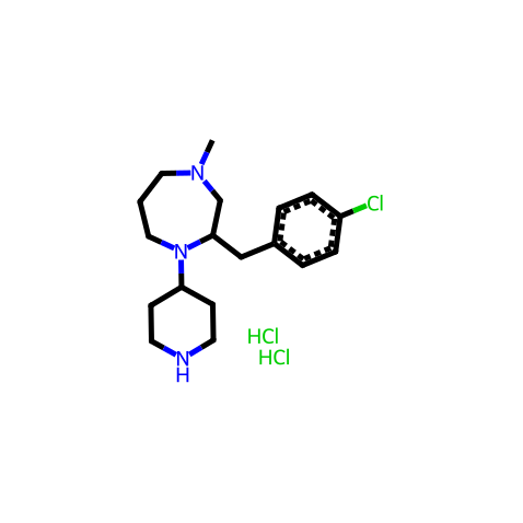 CN1CCCN(C2CCNCC2)C(Cc2ccc(Cl)cc2)C1.Cl.Cl